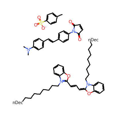 CCCCCCCCCCCCCCCCCCN1C(=CC=Cc2oc3ccccc3[n+]2CCCCCCCCCCCCCCCCCC)Oc2ccccc21.CN(C)c1ccc(C=Cc2ccc(N3C(=O)C=CC3=O)cc2)cc1.Cc1ccc(S(=O)(=O)[O-])cc1